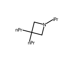 CCCC1(CCC)CN(C(C)C)C1